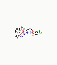 CNC(=O)CN(Cc1ccc2cccc(NS(=O)(=O)c3ccc(C(F)(F)F)cc3)c2n1)C(=O)OC(C)(C)C